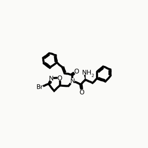 N[C@@H](Cc1ccccc1)C(=O)N(CC1CC(Br)=NO1)C(=O)C=Cc1ccccc1